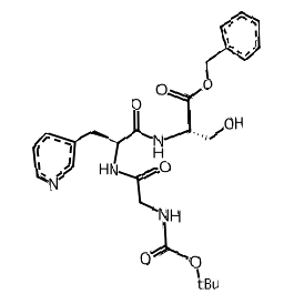 CC(C)(C)OC(=O)NCC(=O)N[C@@H](Cc1cccnc1)C(=O)N[C@@H](CO)C(=O)OCc1ccccc1